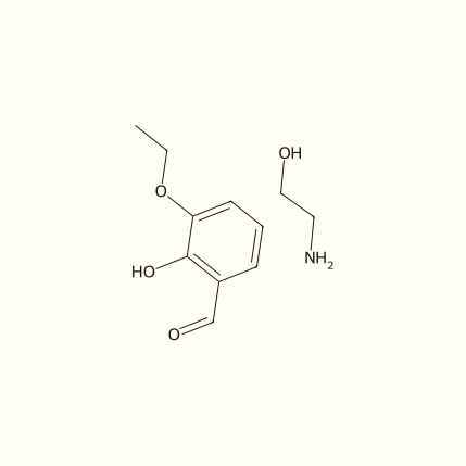 CCOc1cccc(C=O)c1O.NCCO